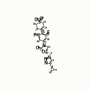 O=C1O[C@@H](Cn2cc(C3CC3)nn2)CN1c1cc(F)c(C2=CCS(=O)(=O)CC2)c(F)c1